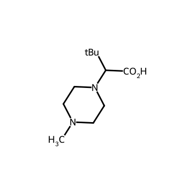 CN1CCN(C(C(=O)O)C(C)(C)C)CC1